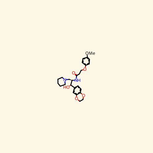 COc1ccc(OCCC(=O)N[C@H](CN2CCCCC2)[C@H](O)c2ccc3c(c2)OCCO3)cc1